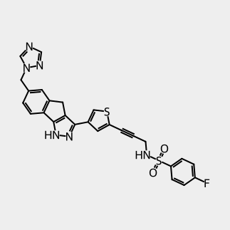 O=S(=O)(NCC#Cc1cc(-c2n[nH]c3c2Cc2cc(Cn4cncn4)ccc2-3)cs1)c1ccc(F)cc1